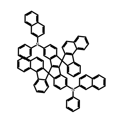 c1ccc(N(c2ccc3c(c2)C2=C(c4cc(N(c5ccccc5)c5ccc6ccccc6c5)ccc4C24c2ccccc2-c2c4ccc4ccccc24)C32c3ccccc3-c3c2ccc2ccccc32)c2ccc3ccccc3c2)cc1